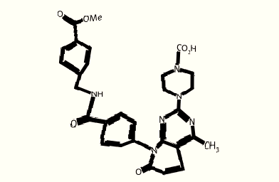 COC(=O)c1ccc(CNC(=O)c2ccc(-n3c(=O)ccc4c(C)nc(N5CCN(C(=O)O)CC5)nc43)cc2)cc1